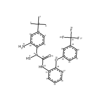 CC(C)(C)c1ccc(N(S)C(=O)Nc2cccnc2Oc2cccc(C(F)(F)F)c2)c(N)c1